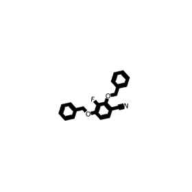 N#Cc1ccc(OCc2ccccc2)c(F)c1OCc1ccccc1